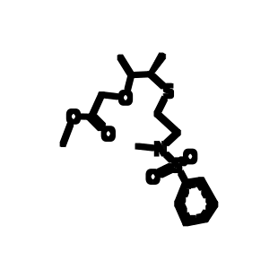 COC(=O)COC(C)[C@@H](C)SCCN(C)S(=O)(=O)c1ccccc1